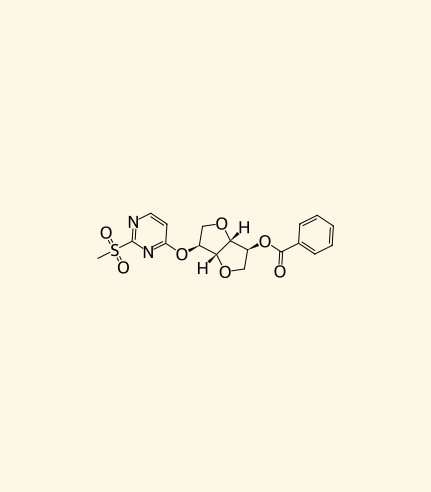 CS(=O)(=O)c1nccc(O[C@H]2CO[C@H]3[C@@H]2OC[C@@H]3OC(=O)c2ccccc2)n1